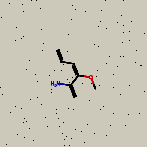 C=C/C=C(/OC)C(=C)N